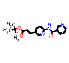 CC(C)(C)OC(=O)/C=C/c1ccc(NC(=O)c2cccnc2)nc1